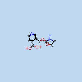 OB(O)c1ccncc1COC1NCCO1